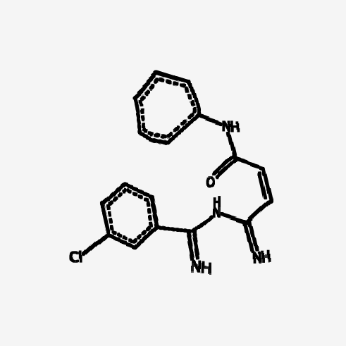 N=C(/C=C\C(=O)Nc1ccccc1)NC(=N)c1cccc(Cl)c1